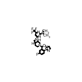 CN(C)c1nc(N2C[C@@H]3CCN(C(=O)c4cc(F)ccc4-n4nccn4)C[C@@H]32)cc(C(F)(F)F)n1